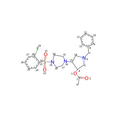 CC(=O)OC1CN(Cc2ccccc2)CC1N1CCN(S(=O)(=O)c2ccccc2F)CC1